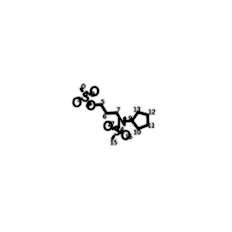 CS(=O)(=O)OCCCN(C1CCCC1)S(C)(=O)=O